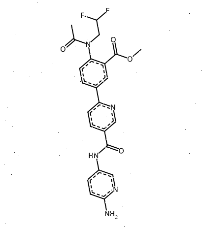 COC(=O)c1cc(-c2ccc(C(=O)Nc3ccc(N)nc3)cn2)ccc1N(CC(F)F)C(C)=O